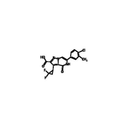 Cc1cc(-c2cn3nc(C(=O)O)c(C4CC4(F)F)c3c(=O)[nH]2)ccc1Cl